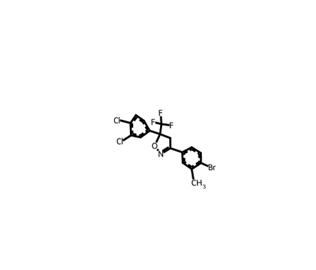 Cc1cc(C2=NOC(c3ccc(Cl)c(Cl)c3)(C(F)(F)F)C2)ccc1Br